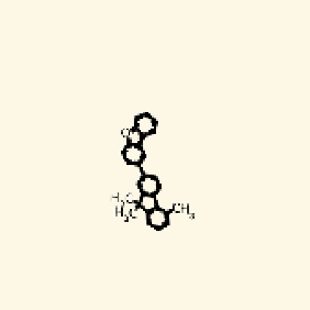 Cc1cccc2c1-c1ccc(-c3ccc4oc5ccccc5c4c3)cc1C2(C)C